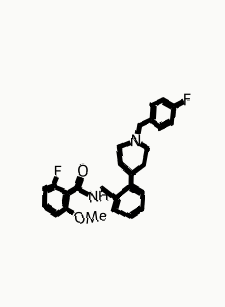 COc1cccc(F)c1C(=O)NCc1ccccc1C1CCN(Cc2ccc(F)cc2)CC1